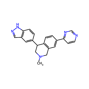 CN1Cc2cc(-c3ccncn3)ccc2C(c2ccc3[nH]ncc3c2)C1